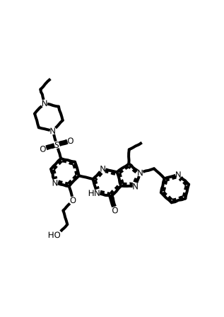 CCc1c2nc(-c3cc(S(=O)(=O)N4CCN(CC)CC4)cnc3OCCO)[nH]c(=O)c2nn1Cc1ccccn1